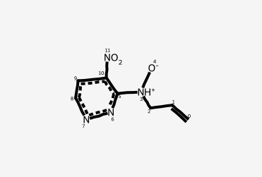 C=CC[NH+]([O-])c1nnccc1[N+](=O)[O-]